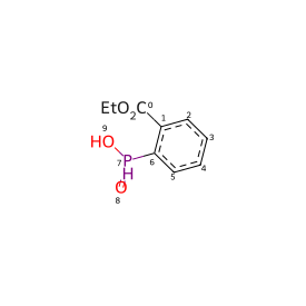 CCOC(=O)c1ccccc1[PH](=O)O